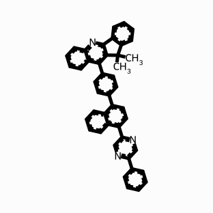 CC1(C)c2ccccc2-c2nc3ccccc3c(-c3ccc(-c4ccc(-c5cnc(-c6ccccc6)cn5)c5ccccc45)cc3)c21